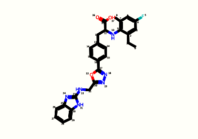 CCc1cc(F)cc(C)c1NC(Cc1ccc(-c2nnc(CNc3nc4ccccc4[nH]3)o2)cc1)C(=O)O